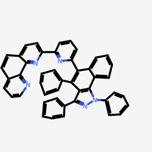 c1ccc(-c2nn(-c3ccccc3)c3c2c(-c2ccccc2)c(-c2cccc(-c4ccc5ccc6cccnc6c5n4)n2)c2ccccc23)cc1